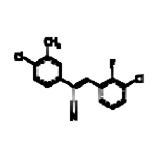 Cc1cc(/C(C#N)=C/c2cccc(Cl)c2F)ccc1Cl